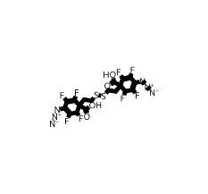 [N-]=[N+]=NC1=C(F)C(F)C(CCSSCCC2(C(=O)O)C(F)=C(F)C(N=[N+]=[N-])=C(F)C2F)(C(=O)O)C(F)=C1F